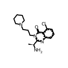 C[C@H](N)c1nc2cccc(Cl)c2c(=O)n1CCCN1CCCCC1